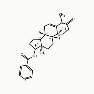 CN1C(=O)CC[C@@]2(C)C1=CC[C@@H]1[C@H]2CC[C@]2(C)C(NC(=O)c3ccncc3)CC[C@@H]12